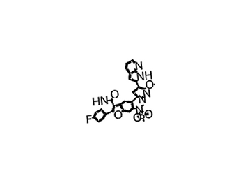 CNC(=O)c1c(-c2ccc(F)cc2)oc2cc(N(C)S(C)(=O)=O)c(-c3cc(-c4cc5cccnc5[nH]4)c(OC)nn3)cc12